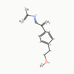 C=C(C#N)/N=C/C(=C)c1ccc(CCOCC)cc1